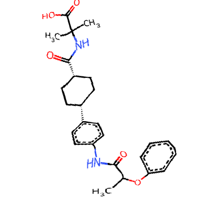 CC(Oc1ccccc1)C(=O)Nc1ccc([C@H]2CC[C@@H](C(=O)NC(C)(C)C(=O)O)CC2)cc1